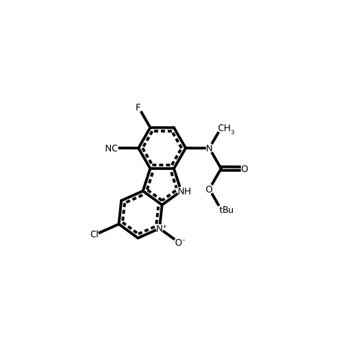 CN(C(=O)OC(C)(C)C)c1cc(F)c(C#N)c2c1[nH]c1c2cc(Cl)c[n+]1[O-]